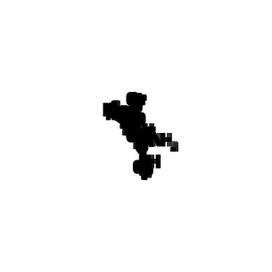 CC(C)(C)OC(=O)NCCCO/N=C(/C(=O)NC1C(=O)N2C(C(=O)OCOC(=O)C(C)(C)C)=C(CSc3nncs3)CS[C@H]12)c1nsc(N)n1